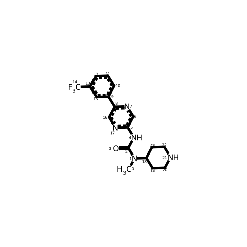 CN(C(=O)Nc1cnc(-c2cccc(C(F)(F)F)c2)cn1)C1CCNCC1